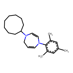 Cc1cc(C)c(N2C=CCN(C3CCCCCCCC3)C=C2)c(C)c1